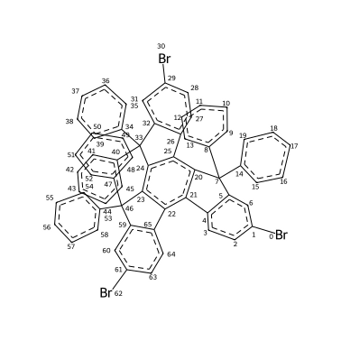 Brc1ccc2c(c1)C(c1ccccc1)(c1ccccc1)c1c-2c2c(c3c1-c1ccc(Br)cc1C3(c1ccccc1)c1ccccc1)C(c1ccccc1)(c1ccccc1)c1cc(Br)ccc1-2